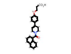 O=C(O)CCOc1ccc(C2=CCN(C(=O)c3cccc4ccccc34)CC2)cc1